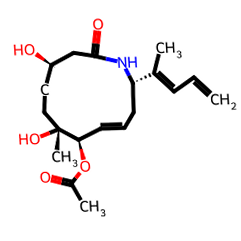 C=C/C=C(\C)[C@@H]1C/C=C/[C@@H](OC(C)=O)[C@](C)(O)CC[C@@H](O)CC(=O)N1